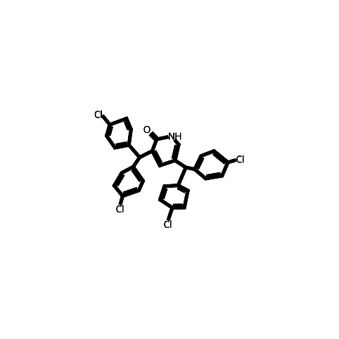 O=c1[nH]cc(C(c2ccc(Cl)cc2)c2ccc(Cl)cc2)cc1C(c1ccc(Cl)cc1)c1ccc(Cl)cc1